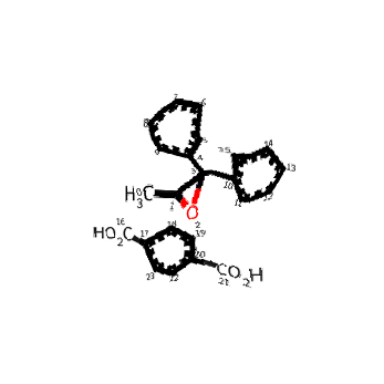 CC1OC1(c1ccccc1)c1ccccc1.O=C(O)c1ccc(C(=O)O)cc1